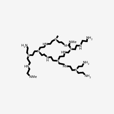 CNCCNCCN(CCN)CCN(CCNCCN(C)CCN)CCNCCN(CCNCCN(CCN)CCN)CCNCN(CCNCCN)CNC